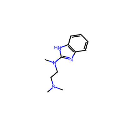 CN(C)CCN(C)c1nc2[c]cccc2[nH]1